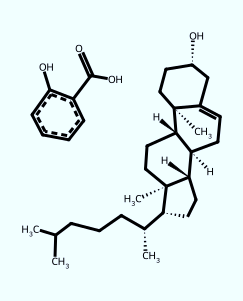 CC(C)CCC[C@@H](C)[C@H]1CC[C@H]2[C@@H]3CC=C4C[C@@H](O)CC[C@]4(C)[C@H]3CC[C@]12C.O=C(O)c1ccccc1O